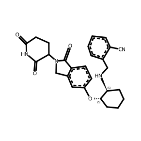 N#Cc1ccccc1CN[C@H]1CCCC[C@@H]1Oc1ccc2c(c1)CN(C1CCC(=O)NC1=O)C2=O